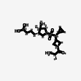 C[C@H](N)C(=O)N1CC(N(C2CC2)S(=O)(=O)N2C[C@H](CCCB(O)O)[C@@](C)(N)C2)C1